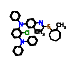 CCC/C(=N\c1ccc(N(c2ccccc2)c2cccc(N(c3ccccc3)c3ccccc3)c2Cl)cc1C)SC1=C(C)C=CCCC1